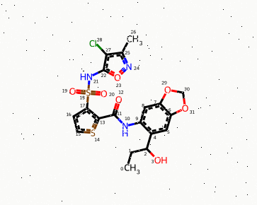 CCC(O)c1cc2c(cc1NC(=O)c1sccc1S(=O)(=O)Nc1onc(C)c1Cl)OCO2